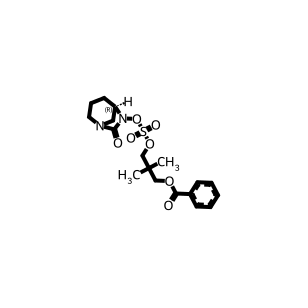 CC(C)(COC(=O)c1ccccc1)COS(=O)(=O)ON1C(=O)N2CCC[C@@H]1C2